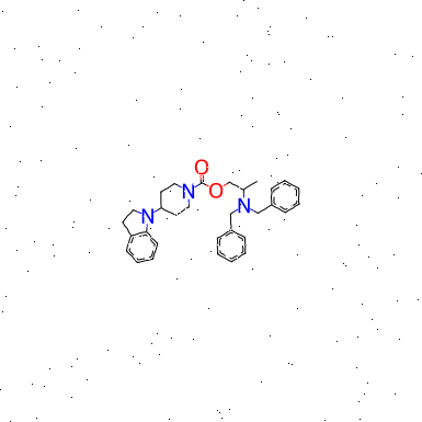 CC(COC(=O)N1CCC(N2CCc3ccccc32)CC1)N(Cc1ccccc1)Cc1ccccc1